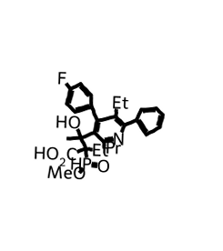 CCc1c(-c2ccccc2)nc(C(C)C)c(C(C)(O)C(CC)(C(=O)O)[PH](=O)OC)c1-c1ccc(F)cc1